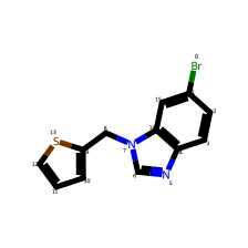 Brc1ccc2ncn(Cc3cccs3)c2c1